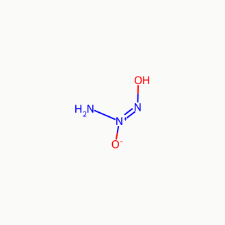 N/[N+]([O-])=N\O